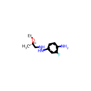 CCO[C@@H](C)CNNc1ccc(N)c(F)c1